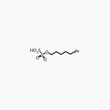 CC(C)CCCCCOS(=O)(=O)S(=O)(=O)O